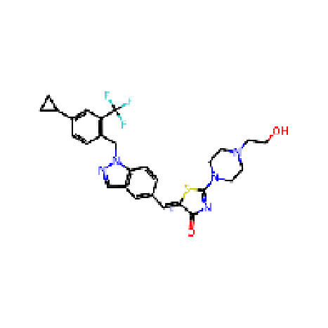 O=C1N=C(N2CCN(CCO)CC2)S/C1=C\c1ccc2c(cnn2Cc2ccc(C3CC3)cc2C(F)(F)F)c1